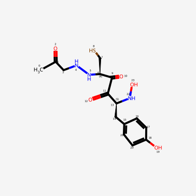 CC(=O)CNN[C@@H](CS)C(=O)C(=O)[C@H](Cc1ccc(O)cc1)NO